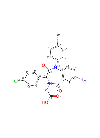 O=C(O)CN1C(=O)c2cc(I)ccc2N(c2ccc(Cl)cc2)C(=O)C1c1ccc(Cl)cc1